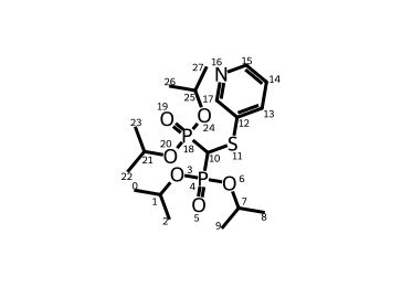 CC(C)OP(=O)(OC(C)C)C(Sc1cccnc1)P(=O)(OC(C)C)OC(C)C